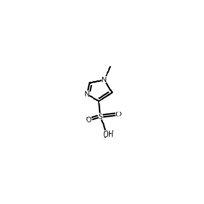 Cn1cnc(S(=O)(=O)O)c1